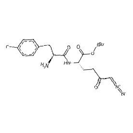 CC(C)(C)OC(=O)[C@H](CCC(=O)C=[N+]=[N-])NC(=O)[C@@H](N)Cc1ccc(F)cc1